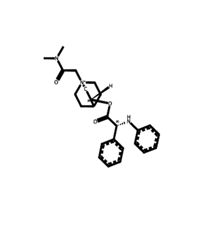 CN(C)C(=O)C[N+]12CCC(CC1)[C@@H](OC(=O)[C@H](Nc1ccccc1)c1ccccc1)C2